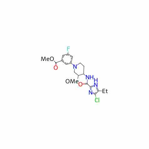 CCc1[nH]c(C(=O)NC2CCN(c3cc(F)cc(C(=O)OC)c3)CC2OC)nc1Cl